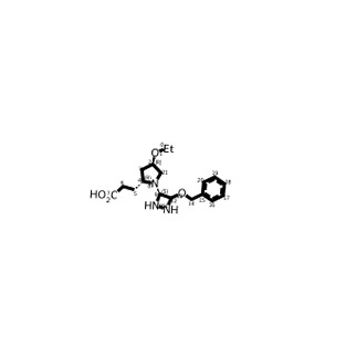 CCO[C@@H]1C[C@@H](CCC(=O)O)N([C@H]2NNC2OCc2ccccc2)C1